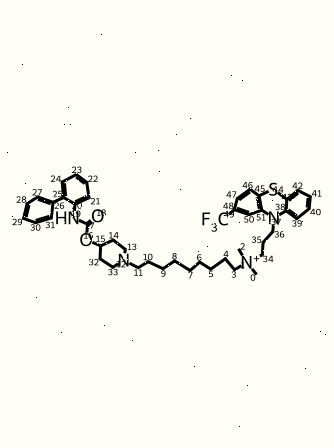 C[N+](C)(CCCCCCCCCN1CCC(OC(=O)Nc2ccccc2-c2ccccc2)CC1)CCCN1c2ccccc2Sc2ccc(C(F)(F)F)cc21